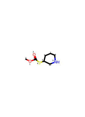 COC(=O)SC1CCCNC1